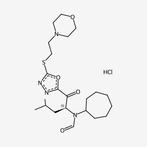 CC(C)C[C@@H](C(=O)c1nnc(SCCN2CCOCC2)o1)N(C=O)C1CCCCCC1.Cl